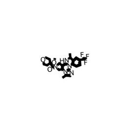 COC1(C(=O)N2Cc3c(NC(C)c4cccc(C(F)(F)F)c4)nc4ncc(C)n4c3C2)CCOCC1